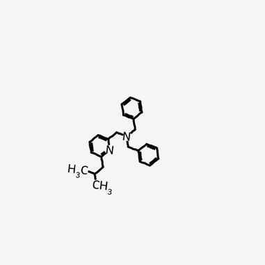 CC(C)Cc1cccc(CN(Cc2ccccc2)Cc2ccccc2)n1